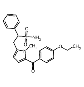 CCOc1ccc(C(=O)c2ccc(CC(c3ccccc3)S(N)(=O)=O)n2C)cc1